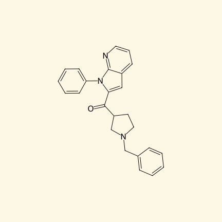 O=C(c1cc2cccnc2n1-c1ccccc1)C1CCN(Cc2ccccc2)C1